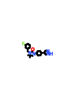 CC1(C)CN(c2ccc(-c3cn[nH]c3)cc2)C(=O)N1Cc1cccc(F)c1